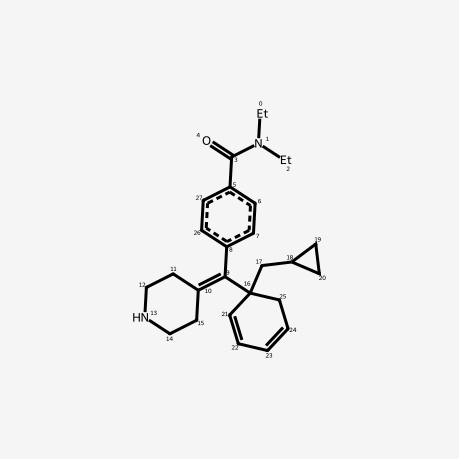 CCN(CC)C(=O)c1ccc(C(=C2CCNCC2)C2(CC3CC3)C=CC=CC2)cc1